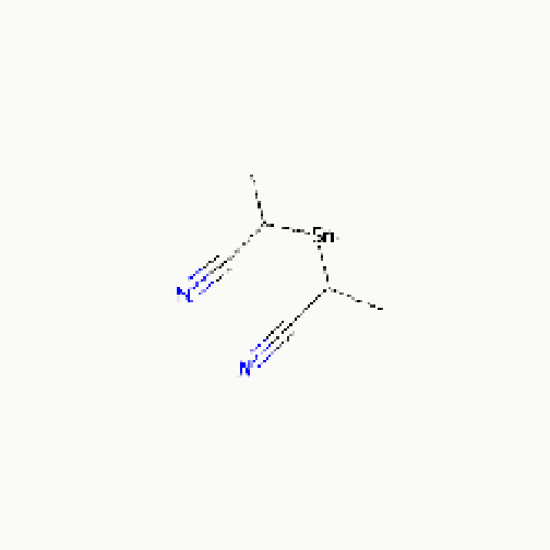 C[CH](C#N)[Sn][CH](C)C#N